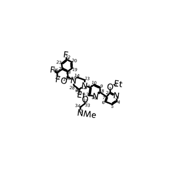 CCOc1ncccc1-c1ccc(N2CCN(C(=O)c3ccc(F)cc3C(F)F)C[C@H]2CC)c(OCCNC)n1